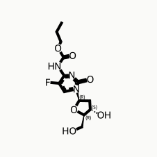 CCCOC(=O)Nc1nc(=O)n([C@H]2C[C@H](O)[C@@H](CO)O2)cc1F